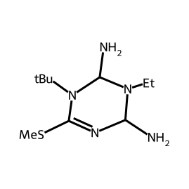 CCN1C(N)N=C(SC)N(C(C)(C)C)C1N